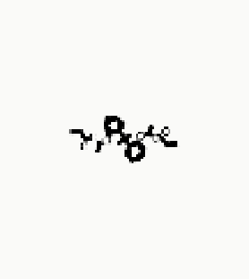 C=CC(=O)OC(C)Oc1ccccc1C(C)(C)c1ccccc1OC(C)OC(=O)C=C